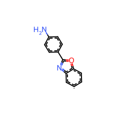 Nc1ccc(-c2nc3c[c]ccc3o2)cc1